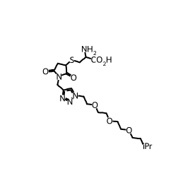 CC(C)CCOCCOCCOCCn1cc(CN2C(=O)CC(SCC(N)C(=O)O)C2=O)nn1